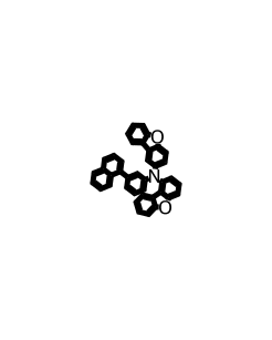 c1cc(-c2cccc3ccccc23)cc(N(c2ccc3oc4ccccc4c3c2)c2cccc3oc4ccccc4c23)c1